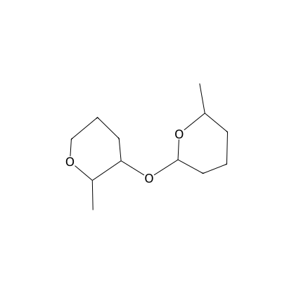 CC1CCCC(OC2CCCOC2C)O1